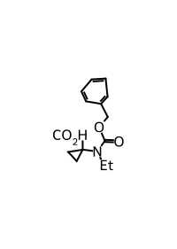 CCN(C(=O)OCc1ccccc1)C1(C(=O)O)CC1